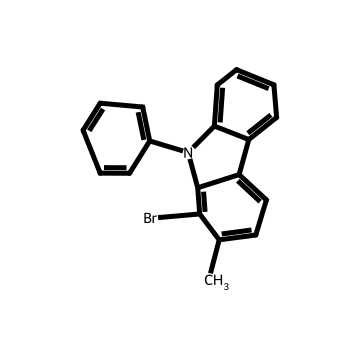 Cc1ccc2c3ccccc3n(-c3ccccc3)c2c1Br